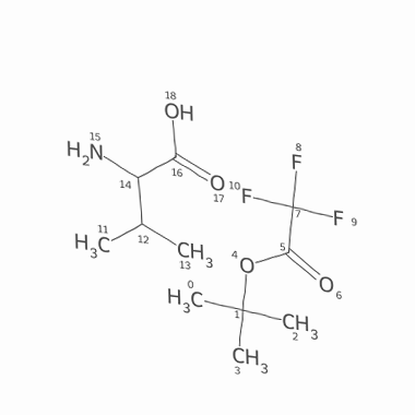 CC(C)(C)OC(=O)C(F)(F)F.CC(C)C(N)C(=O)O